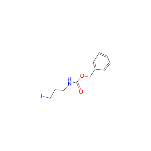 O=C(NCCCI)OCc1ccccc1